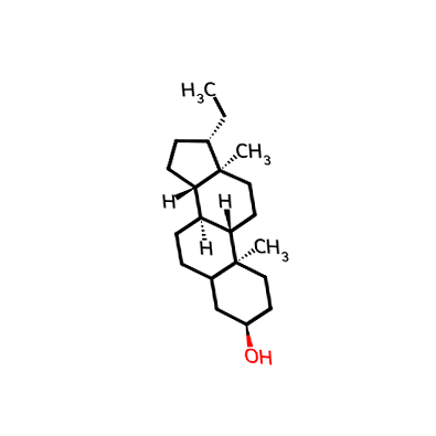 CC[C@H]1CC[C@H]2[C@@H]3CCC4C[C@H](O)CC[C@]4(C)[C@H]3CC[C@]12C